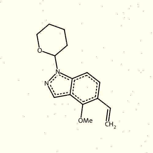 C=Cc1ccc2c(cnn2C2CCCCO2)c1OC